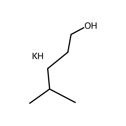 CC(C)CCCO.[KH]